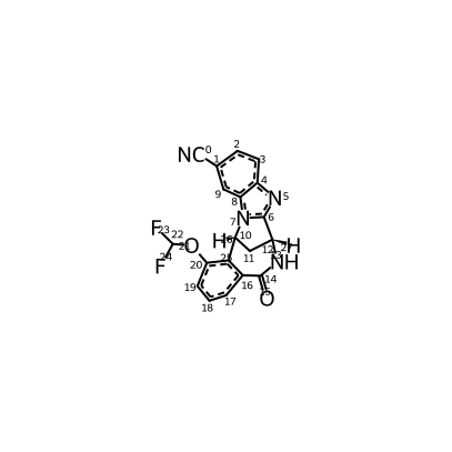 N#Cc1ccc2nc3n(c2c1)[C@@H]1C[C@H]3NC(=O)c2cccc(OC(F)F)c21